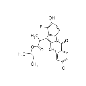 CCC(C)OC(=O)C(C)c1c(C)n(C(=O)c2ccc(Cl)cc2)c2ccc(O)c(F)c12